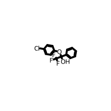 OC(Oc1ccc(Cl)cc1)(c1ccccc1)C(F)(F)F